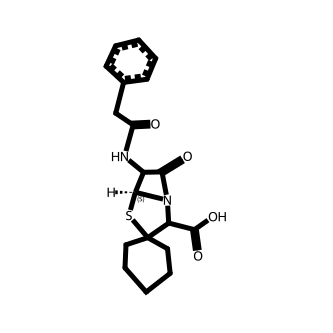 O=C(Cc1ccccc1)NC1C(=O)N2C(C(=O)O)C3(CCCCC3)S[C@@H]12